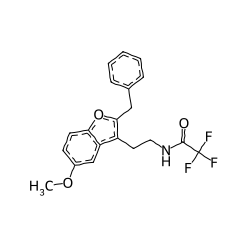 COc1ccc2oc(Cc3ccccc3)c(CCNC(=O)C(F)(F)F)c2c1